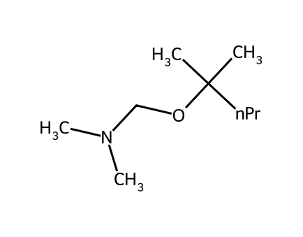 CCCC(C)(C)OCN(C)C